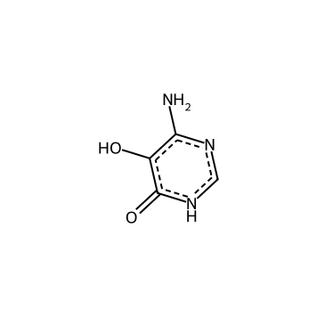 Nc1nc[nH]c(=O)c1O